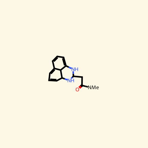 CNC(=O)CC1NC2=CC=CC3=CC=CC(N1)C32